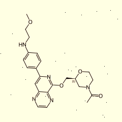 COCCNc1ccc(-c2cc3nccnc3c(OC[C@@H]3CN(C(C)=O)CCO3)n2)cc1